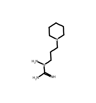 N=C(N)N(N)CCCN1CCCCC1